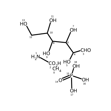 C.NC(=O)O.O=CC(O)C(O)C(O)C(O)CO.O=P(O)(O)O